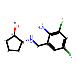 Nc1c(Br)cc(Br)cc1CN[C@@H]1CCC[C@H]1O